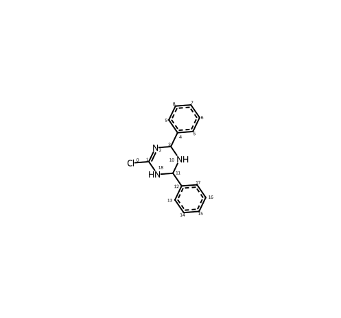 ClC1=NC(c2ccccc2)NC(c2ccccc2)N1